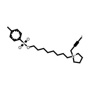 Cc1ccc(S(=O)(=O)OCCCCCCCC[N+]2(CC#CI)CCCC2)cc1